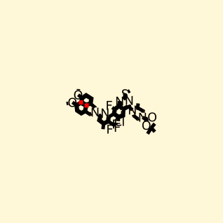 COc1ccc(CN(Cc2ccc(OC)cc2)c2cc(C)c(C(F)(F)F)c(-c3c(Cl)cc4c(N5CCN(C(=O)OC(C)(C)C)CC5C)nc(SC)nc4c3F)n2)cc1